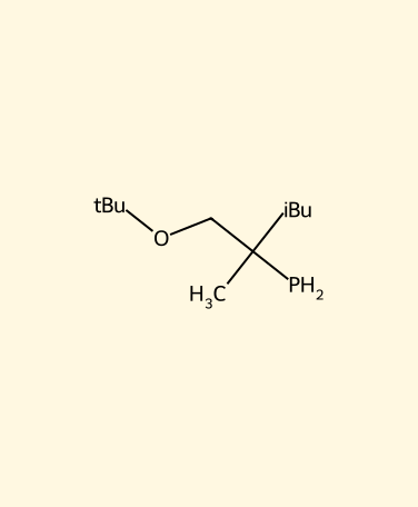 CCC(C)C(C)(P)COC(C)(C)C